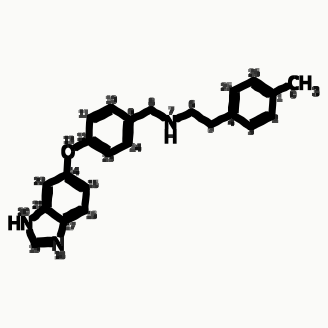 Cc1ccc(CCNCc2ccc(Oc3ccc4nc[nH]c4c3)cc2)cc1